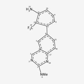 CNc1ncc2cc(-c3cccc(N)c3C(F)(F)F)ccc2n1